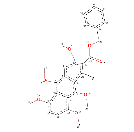 COc1cc2c(OC)c3c(OC)ccc(OC)c3c(OC)c2c(C)c1C(=O)OCc1ccccc1